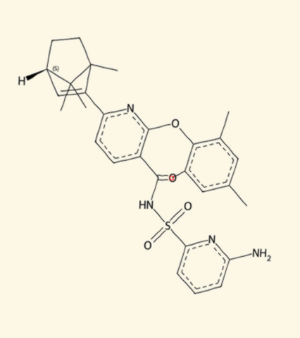 Cc1cc(C)c(Oc2nc(C3=C[C@@H]4CCC3(C)C4(C)C)ccc2C(=O)NS(=O)(=O)c2cccc(N)n2)c(C)c1